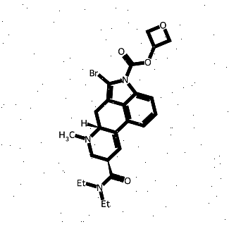 CCN(CC)C(=O)[C@@H]1C=C2c3cccc4c3c(c(Br)n4C(=O)OC3COC3)C[C@H]2N(C)C1